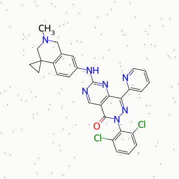 CN1Cc2cc(Nc3ncc4c(=O)n(-c5c(Cl)cccc5Cl)nc(-c5ccccn5)c4n3)ccc2C2(CC2)C1